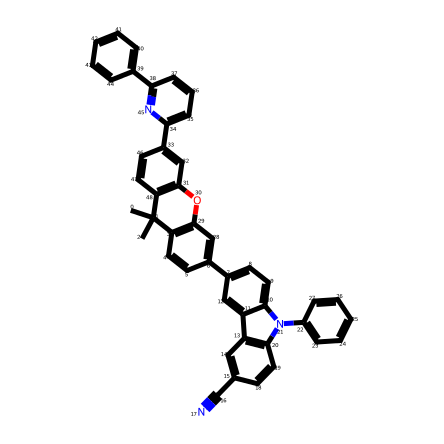 CC1(C)c2ccc(-c3ccc4c(c3)c3cc(C#N)ccc3n4-c3ccccc3)cc2Oc2cc(-c3cccc(-c4ccccc4)n3)ccc21